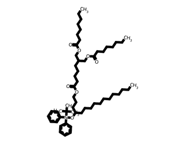 CCCCCCCCCCCCC(CCCOC(=O)CCCCC(COC(=O)CCCCCCC)COC(=O)CCCCCCC)O[Si](c1ccccc1)(c1ccccc1)C(C)(C)C